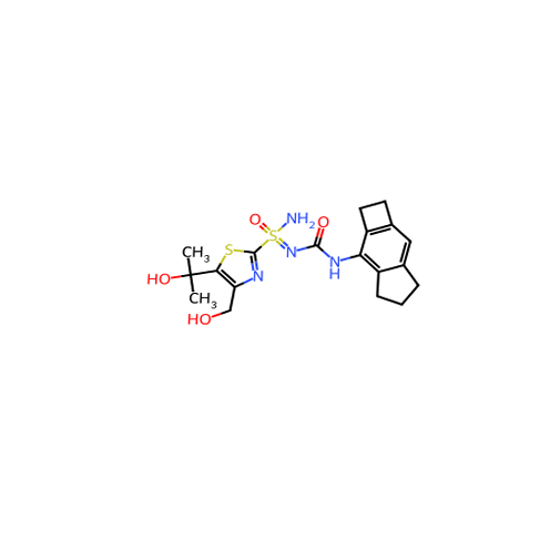 CC(C)(O)c1sc(S(N)(=O)=NC(=O)Nc2c3c(cc4c2CC4)CCC3)nc1CO